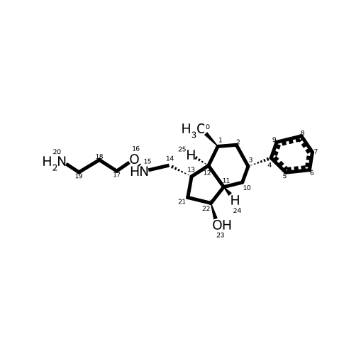 C[C@H]1C[C@H](c2ccccc2)C[C@H]2[C@H]1[C@@H](CNOCCCN)C[C@@H]2O